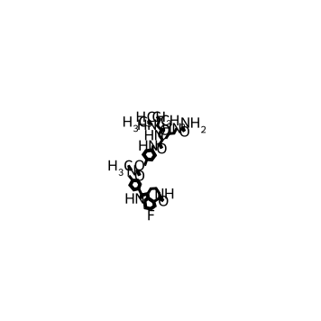 CC(C)N[C@H](C(=O)N[C@@H](CCCNC(N)=O)C(=O)Nc1ccc(COC(=O)N(C)Cc2ccc(-c3[nH]c4cc(F)cc5c4c3CCNC5=O)cc2)cc1)C(C)C